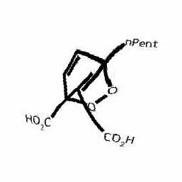 CCCCCC12C=CC(C(=O)O)(OO1)C(C(=O)O)=C2